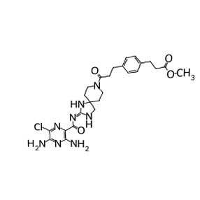 COC(=O)CCc1ccc(CCC(=O)N2CCC3(CC2)CN/C(=N\C(=O)c2nc(Cl)c(N)nc2N)N3)cc1